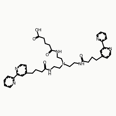 O=C(O)CCCC(=O)NCCN(CCNC(=O)CCCc1ccnc(-c2ccccn2)c1)CCNC(=O)CCCc1ccnc(-c2ccccn2)c1